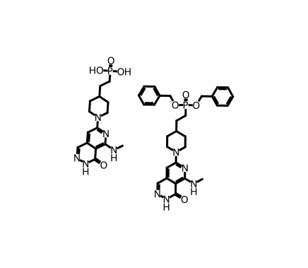 CNc1nc(N2CCC(CCP(=O)(O)O)CC2)cc2cn[nH]c(=O)c12.CNc1nc(N2CCC(CCP(=O)(OCc3ccccc3)OCc3ccccc3)CC2)cc2cn[nH]c(=O)c12